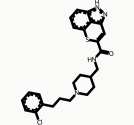 O=C(NCC1CCN(CCCc2ccccc2Cl)CC1)C1=Cc2n[nH]c3cccc(c23)S1